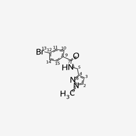 Cn1ccc(CNC(=O)c2ccc(Br)cc2)n1